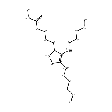 CCCCCNC1=C(NCCCCC)C(CCCCC(=O)OC)SC1